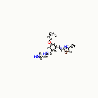 C=CCOc1cc(/C=C/c2nc(C(C)C)cs2)cc(CNCC2CNC2)c1